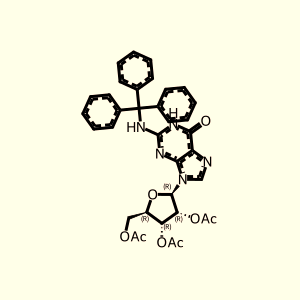 CC(=O)OC[C@H]1O[C@@H](n2cnc3c(=O)[nH]c(NC(c4ccccc4)(c4ccccc4)c4ccccc4)nc32)[C@H](OC(C)=O)[C@@H]1OC(C)=O